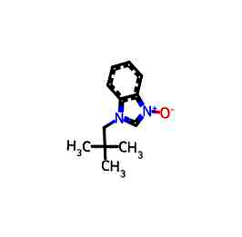 CC(C)(C)Cn1c[n+]([O-])c2ccccc21